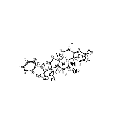 C[C@]12C=CC(=O)C=C1[C@@H](F)C[C@@H]1[C@@H]2[C@@H](O)C[C@@]2(C)[C@H]1CC[C@]2(O)C1(Oc2ccccc2)CO1